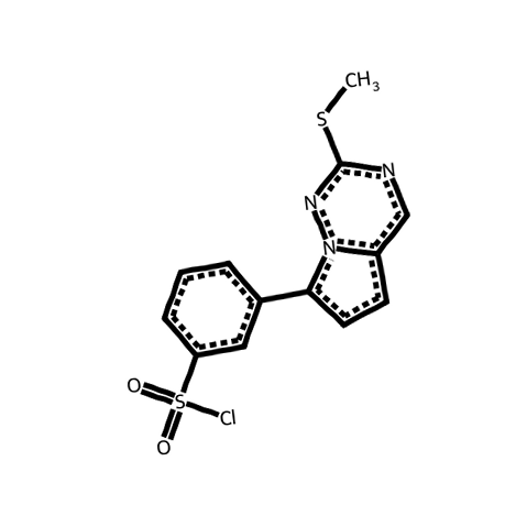 CSc1ncc2ccc(-c3cccc(S(=O)(=O)Cl)c3)n2n1